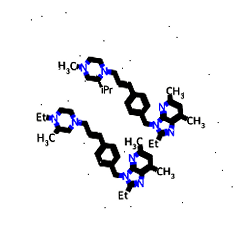 CCc1nc2c(C)cc(C)nc2n1Cc1ccc(/C=C/CN2CCN(C)C[C@@H]2C(C)C)cc1.CCc1nc2c(C)cc(C)nc2n1Cc1ccc(/C=C/CN2CCN(CC)C(C)C2)cc1